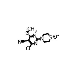 COc1nc(N2CC[S+]([O-])CC2)nc(Cl)c1C#N